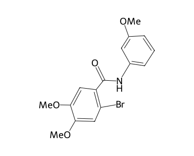 COc1cccc(NC(=O)c2cc(OC)c(OC)cc2Br)c1